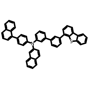 c1cc(-c2cccc(N(c3ccc(-c4cccc5ccccc45)cc3)c3ccc4ccccc4c3)c2)cc(-c2cccc3c2sc2ccccc23)c1